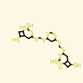 SCSC(CC1C(S)CC1S)SCSC1CC(SCSC(CC2C(S)CC2S)SCS)SCS1